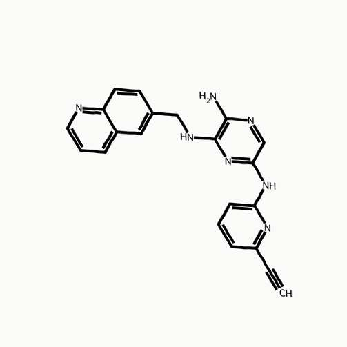 C#Cc1cccc(Nc2cnc(N)c(NCc3ccc4ncccc4c3)n2)n1